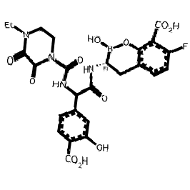 CCN1CCN(C(=O)NC(C(=O)N[C@H]2Cc3ccc(F)c(C(=O)O)c3OB2O)c2ccc(C(=O)O)c(O)c2)C(=O)C1=O